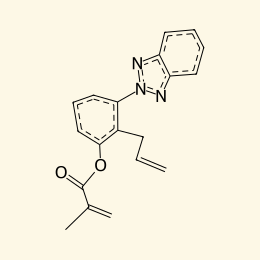 C=CCc1c(OC(=O)C(=C)C)cccc1-n1nc2ccccc2n1